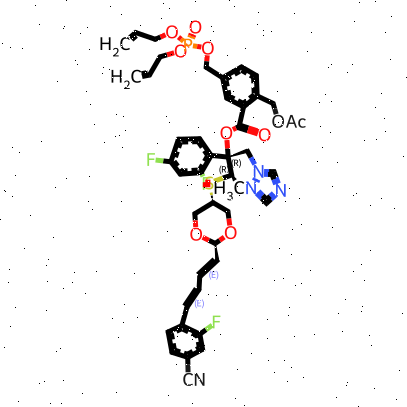 C=CCOP(=O)(OCC=C)OCc1ccc(COC(C)=O)c(C(=O)O[C@@](Cn2cncn2)(c2ccc(F)cc2F)[C@@H](C)S[C@H]2CO[C@H](/C=C/C=C/c3ccc(C#N)cc3F)OC2)c1